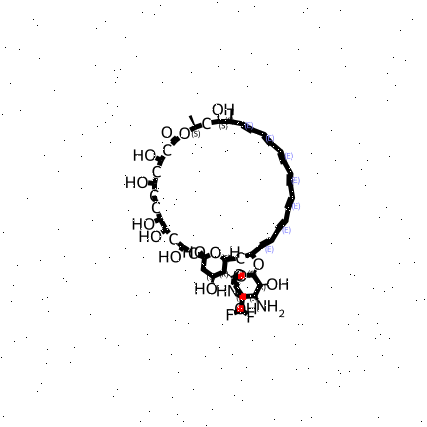 C[C@H]1C[C@H](O)[C@@H](C)/C=C/C=C/C=C/C=C/C=C/C=C/C=C/C(O[C@@H]2OC[C@@H](O)[C@H](N)[C@H]2O)C[C@@H]2OC(O)(CC(O)CC(O)C(O)CCC(O)CC(O)CC(=O)O1)C[C@H](O)[C@H]2C(=O)NCC(F)F